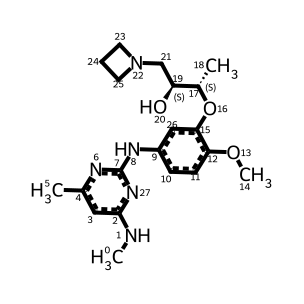 CNc1cc(C)nc(Nc2ccc(OC)c(O[C@@H](C)[C@@H](O)CN3CCC3)c2)n1